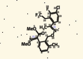 CO/N=C(/C(=O)OC)c1cccc(C)c1CO/N=C(\C)c1ccc(Cl)c(F)c1CC(F)(F)F